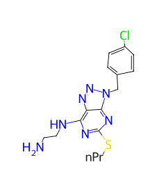 CCCSc1nc(NCCN)c2nnn(Cc3ccc(Cl)cc3)c2n1